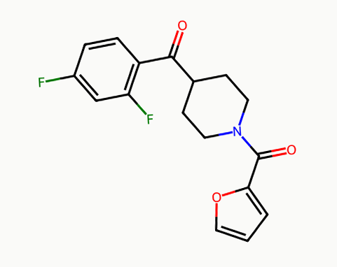 O=C(c1ccc(F)cc1F)C1CCN(C(=O)c2ccco2)CC1